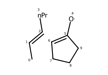 CC=CCCC.[O]C1=CCCC1